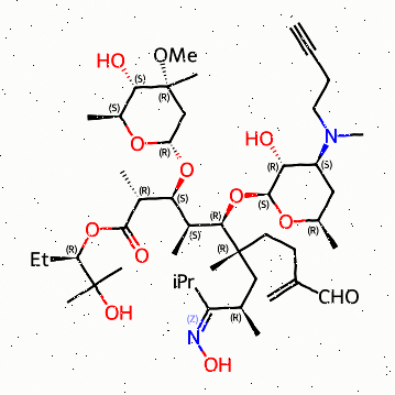 C#CCCN(C)[C@H]1C[C@@H](C)O[C@@H](O[C@H]([C@@H](C)[C@H](O[C@H]2C[C@@](C)(OC)[C@@H](O)[C@H](C)O2)[C@@H](C)C(=O)O[C@H](CC)C(C)(C)O)[C@](C)(CCC(=C)C=O)C[C@@H](C)/C(=N\O)C(C)C)[C@@H]1O